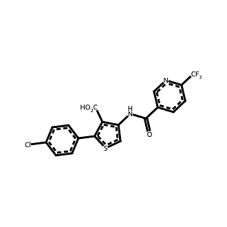 O=C(Nc1csc(-c2ccc(Cl)cc2)c1C(=O)O)c1ccc(C(F)(F)F)nc1